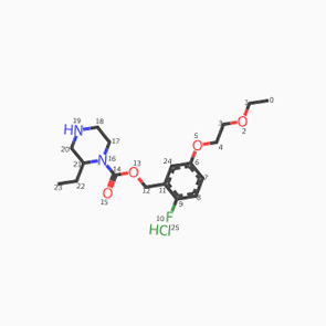 CCOCCOc1ccc(F)c(COC(=O)N2CCNCC2CC)c1.Cl